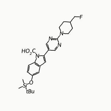 CC(C)(C)[Si](C)(C)Oc1ccc2c(c1)cc(-c1cnc(N3CCC(CF)CC3)nc1)n2C(=O)O